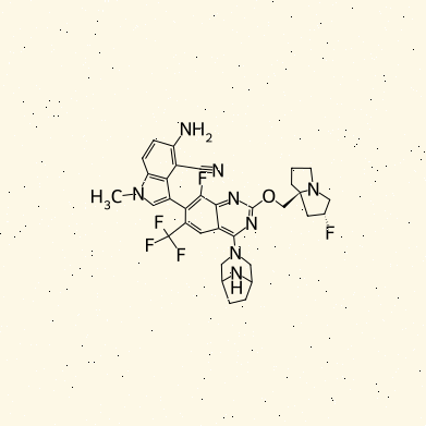 Cn1cc(-c2c(C(F)(F)F)cc3c(N4CC5CCC(C4)N5)nc(OC[C@@]45CCCN4C[C@H](F)C5)nc3c2F)c2c(C#N)c(N)ccc21